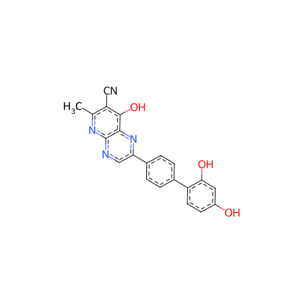 Cc1nc2ncc(-c3ccc(-c4ccc(O)cc4O)cc3)nc2c(O)c1C#N